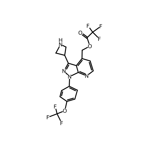 O=C(OCc1ccnc2c1c(C1CNC1)nn2-c1ccc(OC(F)(F)F)cc1)C(F)(F)F